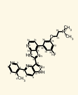 Cc1ccncc1-c1ccc2[nH]nc(-c3nc4c(-c5cc(F)cc(OCCN(C)C)c5)ccnc4[nH]3)c2n1